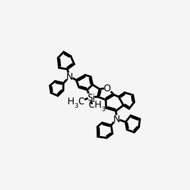 C[Si]1(C)c2cc(N(c3ccccc3)c3ccccc3)ccc2-c2oc3c(cc(N(c4ccccc4)c4ccccc4)c4ccccc43)c21